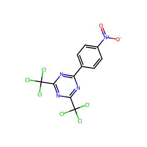 O=[N+]([O-])c1ccc(-c2nc(C(Cl)(Cl)Cl)nc(C(Cl)(Cl)Cl)n2)cc1